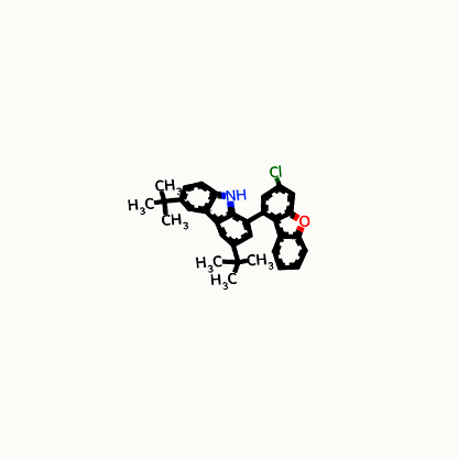 CC(C)(C)c1ccc2[nH]c3c(-c4cc(Cl)cc5oc6ccccc6c45)cc(C(C)(C)C)cc3c2c1